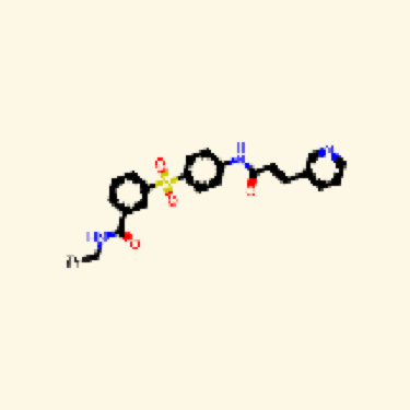 CC(C)CNC(=O)c1cccc(S(=O)(=O)c2ccc(NC(=O)C=Cc3cccnc3)cc2)c1